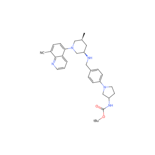 C[C@H]1C[C@@H](NCc2ccc(N3CCC(NC(=O)OC(C)(C)C)C3)cc2)CN(c2ccc(C#N)c3ncccc23)C1